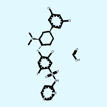 CN(C)[C@H]1C[C@@H](c2cc(Cl)cc(Cl)c2)CC[C@@H]1Oc1cc(F)c(S(=O)(=O)Nc2ccncn2)cc1Cl.O=CO